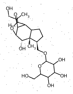 CC(CO)[C@H]1C2C(=O)OC1[C@@H](O)[C@]1(C)C2CC[C@H]1COC1OC(CO)C(O)C(O)C1O